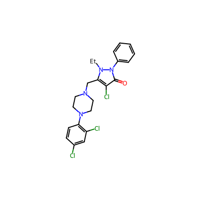 CCn1c(CN2CCN(c3ccc(Cl)cc3Cl)CC2)c(Cl)c(=O)n1-c1ccccc1